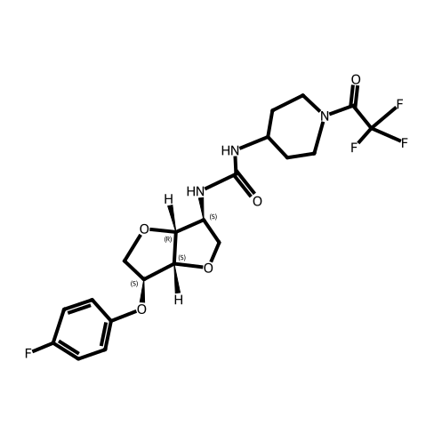 O=C(NC1CCN(C(=O)C(F)(F)F)CC1)N[C@H]1CO[C@H]2[C@@H]1OC[C@@H]2Oc1ccc(F)cc1